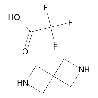 C1NCC12CNC2.O=C(O)C(F)(F)F